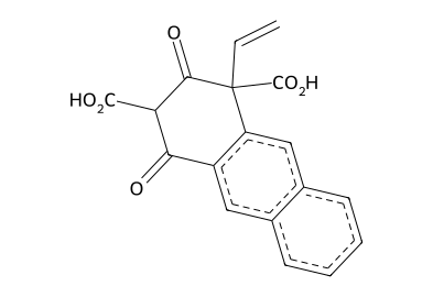 C=CC1(C(=O)O)C(=O)C(C(=O)O)C(=O)c2cc3ccccc3cc21